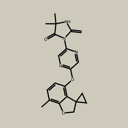 C=C1NC(C)(C)C(=O)N1c1cnc(Oc2ccc(C)c3c2C2(CC2)CO3)cn1